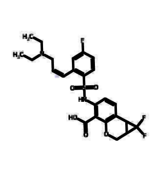 CCN(CC)C/C=C\c1cc(F)ccc1S(=O)(=O)Nc1ccc2c(c1C(=O)O)OCC1C2C1(F)F